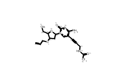 C=CCOC1CC(n2cc(C#CCNC(=O)C(F)(F)F)c(N)nc2=O)OC1CO